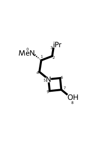 CN[C@H](CC(C)C)CN1CC(O)C1